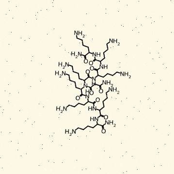 NCCCCC(NC(=O)C(CCCCN)NC(=O)C(CCCCN)NC(=O)C(CCCCN)N(C(=O)CC(N)=O)C(CCCCN)C(=O)NC(CCCCN)C(=O)NC(CCCCN)C(=O)NC(CCCCN)C(N)=O)C(N)=O